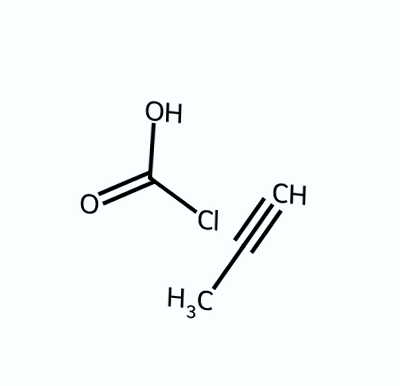 C#CC.O=C(O)Cl